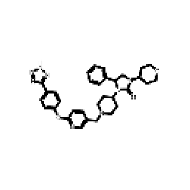 O=C1N(C2CCOCC2)CC(c2ccccc2)N1C1CCN(Cc2ccc(Oc3ccc(-c4nn[nH]n4)cc3)nc2)CC1